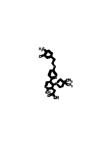 Cc1ccc(CCOc2ccc(-c3cnc(C)c(CC(=O)O)c3N3CCC(C)(C)CC3)nc2)cc1Cl